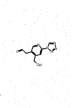 O=CCc1cnc(-n2cnnn2)cc1CO